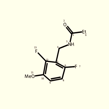 CCC(=O)NCc1c(F)ccc(OC)c1F